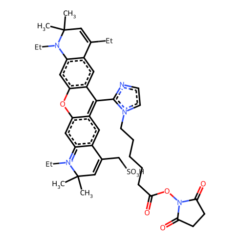 CCC1=CC(C)(C)N(CC)c2cc3c(cc21)C(c1nccn1CCCCCC(=O)ON1C(=O)CCC1=O)=c1cc2c(cc1O3)=[N+](CC)C(C)(C)C=C2CS(=O)(=O)O